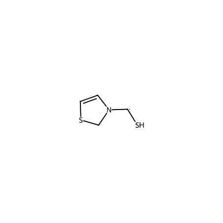 S[CH]N1C=CSC1